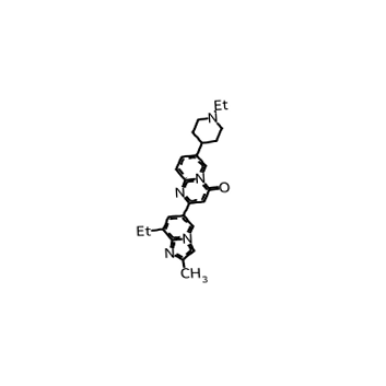 CCc1cc(-c2cc(=O)n3cc(C4CCN(CC)CC4)ccc3n2)cn2cc(C)nc12